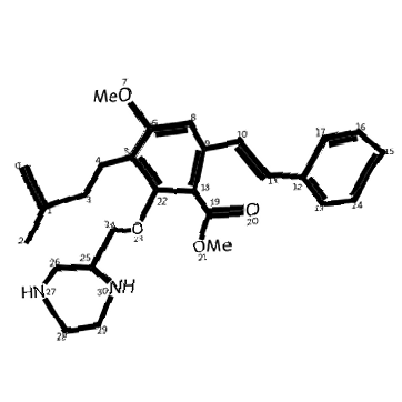 C=C(C)CCc1c(OC)cc(/C=C/c2ccccc2)c(C(=O)OC)c1OCC1CNCCN1